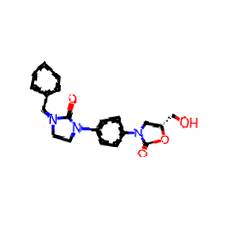 O=C1O[C@@H](CO)CN1c1ccc(N2CCN(Cc3ccccc3)C2=O)cc1